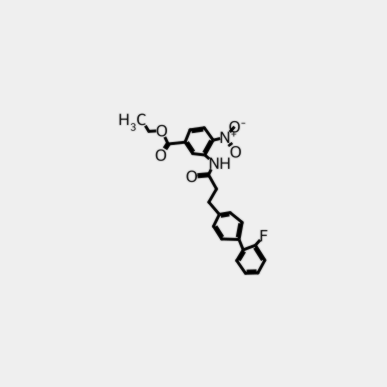 CCOC(=O)c1ccc([N+](=O)[O-])c(NC(=O)CCc2ccc(-c3ccccc3F)cc2)c1